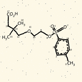 Cc1ccc(S(=O)(=O)OCCOCC(C)(C)CC(=O)O)cc1